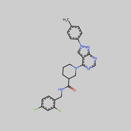 Cc1ccc(-n2cc3c(N4CCCC(C(=O)NCc5ccc(F)cc5F)C4)ncnc3n2)cc1